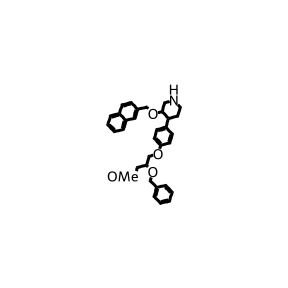 COCC(COc1ccc(C2CCNCC2OCc2ccc3ccccc3c2)cc1)OCc1ccccc1